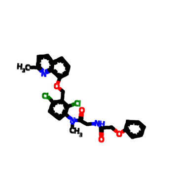 Cc1ccc2cccc(OCc3c(Cl)ccc(N(C)C(=O)CNC(=O)COc4ccccc4)c3Cl)c2n1